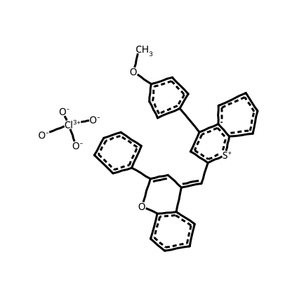 COc1ccc(-c2cc(C=C3C=C(c4ccccc4)Oc4ccccc43)[s+]c3ccccc23)cc1.[O-][Cl+3]([O-])([O-])[O-]